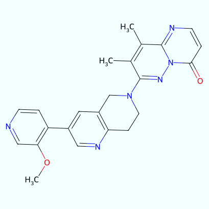 COc1cnccc1-c1cnc2c(c1)CN(c1nn3c(=O)ccnc3c(C)c1C)CC2